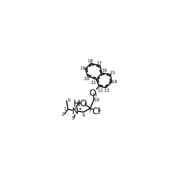 CC(C)[N+](C)(C)CC(O)(Cl)COc1cccc2ccccc12